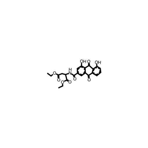 CCOC(=O)CC(NC(=O)c1cc(O)c2c(c1)C(=O)c1cccc(O)c1C2=O)C(=O)OCC